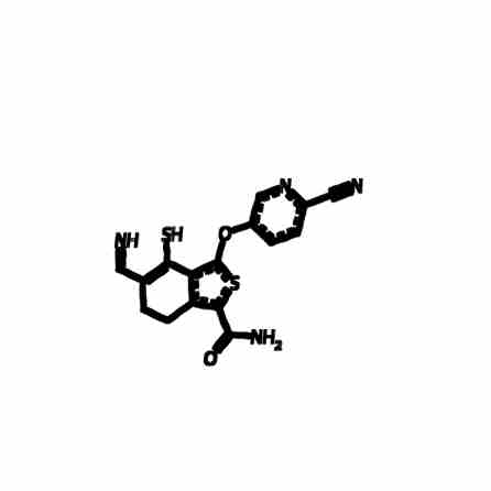 N#Cc1ccc(Oc2sc(C(N)=O)c3c2C(S)=C(C=N)CC3)cn1